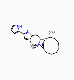 CCCCC1CCCCCCc2cc1c(/C=C1/N=C(c3ccc[nH]3)C=C1OC)n2C